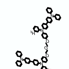 [3H]c1cccc(N(c2ccc(OCCOCCOc3ccc(N(c4ccc(-c5ccc(N(c6ccccc6)c6ccccc6)cc5)cc4)c4cccc([3H])c4)cc3)cc2)c2ccc(-c3ccc(N(c4ccccc4)c4ccccc4)cc3)cc2)c1